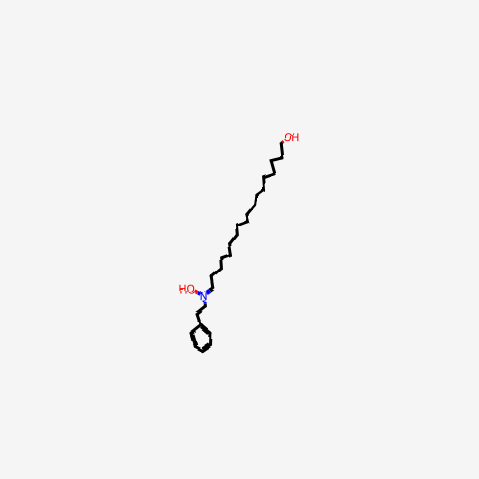 OCCCCCCCCCCCCCCCCCCN(O)CCc1ccccc1